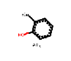 CCCCc1ccccc1O.[AlH3]